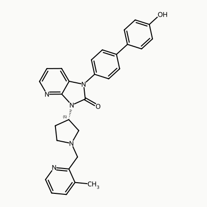 Cc1cccnc1CN1CC[C@H](n2c(=O)n(-c3ccc(-c4ccc(O)cc4)cc3)c3cccnc32)C1